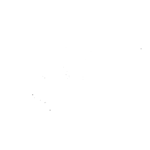 CC(C)(C)OC(=O)NC(Cc1cc(I)c(Oc2ccc(O)cc2)c(I)c1)C(=O)O